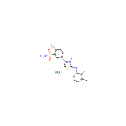 Cc1cccc(N=c2scc(-c3ccc(Cl)c(S(N)(=O)=O)c3)n2C)c1C.Cl